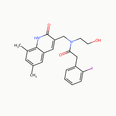 Cc1cc(C)c2[nH]c(=O)c(CN(CCO)C(=O)Cc3ccccc3I)cc2c1